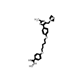 Cc1nc(-c2ccc(OCCCCCOc3ccc(C(=N)NO)cc3)cc2)c(Cn2ccnc2)s1